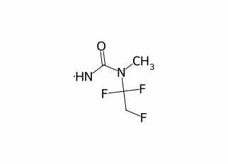 CN(C([NH])=O)C(F)(F)CF